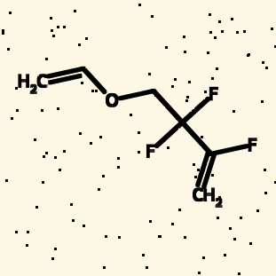 C=COCC(F)(F)C(=C)F